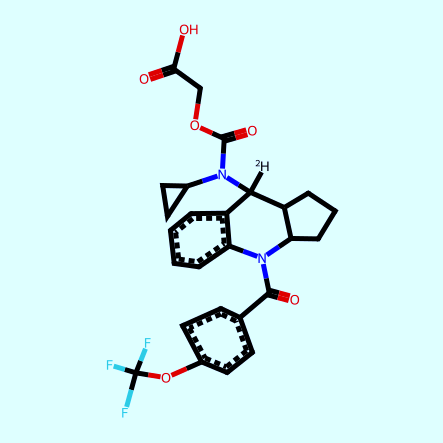 [2H]C1(N(C(=O)OCC(=O)O)C2CC2)c2ccccc2N(C(=O)c2ccc(OC(F)(F)F)cc2)C2CCCC21